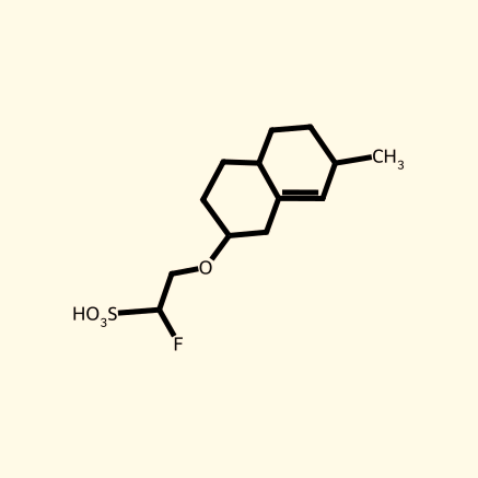 CC1C=C2CC(OCC(F)S(=O)(=O)O)CCC2CC1